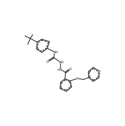 CC(C)(C)c1ccc(NC(=O)NNC(=O)c2ccccc2OCc2ccncc2)cc1